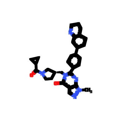 Cn1ncc2c(=O)n(C[C@@H]3CCN(C(=O)C4CC4)C3)c(-c3ccc(-c4ccc5cccnc5c4)cc3)nc21